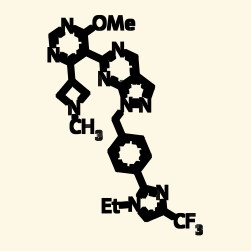 CCn1cc(C(F)(F)F)nc1-c1ccc(Cn2ncc3cnc(-c4c(OC)ncnc4C4CN(C)C4)nc32)cc1